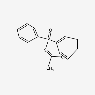 CC(C)=NP(=O)(c1ccccc1)c1ccccc1